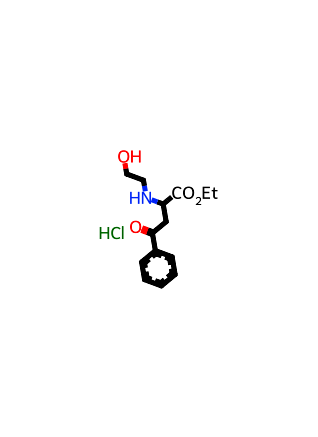 CCOC(=O)C(CC(=O)c1ccccc1)NCCO.Cl